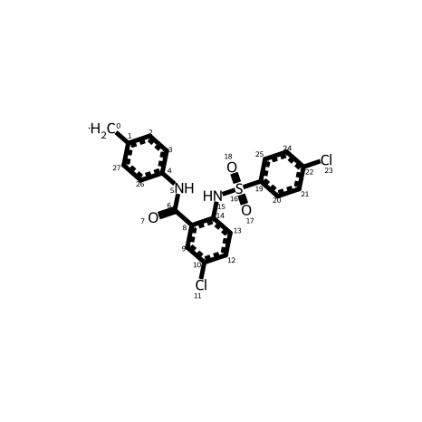 [CH2]c1ccc(NC(=O)c2cc(Cl)ccc2NS(=O)(=O)c2ccc(Cl)cc2)cc1